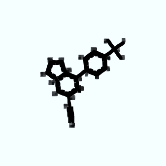 CC(C)(C)c1ccc(-c2nc(C#N)cn3cccc23)cc1